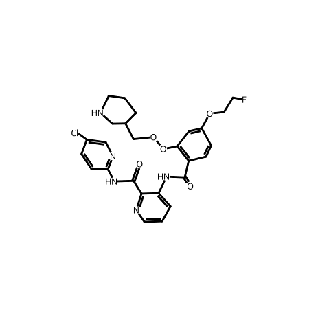 O=C(Nc1cccnc1C(=O)Nc1ccc(Cl)cn1)c1ccc(OCCF)cc1OOCC1CCCNC1